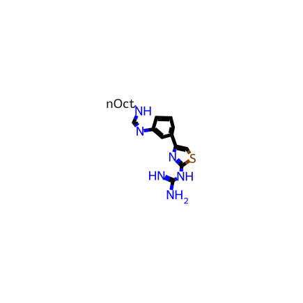 CCCCCCCCN/C=N\c1cccc(-c2csc(NC(=N)N)n2)c1